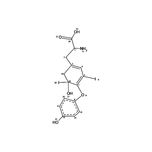 NC(CC1=CC(I)=C(Oc2ccc(O)cc2)C(O)(I)C1)C(=O)O